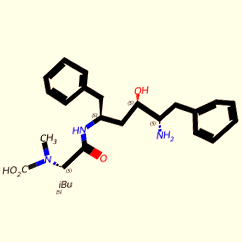 CC[C@H](C)[C@@H](C(=O)N[C@@H](Cc1ccccc1)C[C@H](O)[C@@H](N)Cc1ccccc1)N(C)C(=O)O